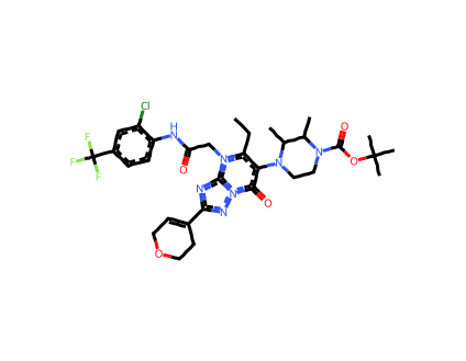 CCc1c(N2CCN(C(=O)OC(C)(C)C)C(C)C2C)c(=O)n2nc(C3=CCOCC3)nc2n1CC(=O)Nc1ccc(C(F)(F)F)cc1Cl